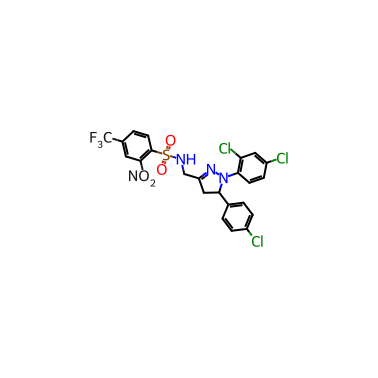 O=[N+]([O-])c1cc(C(F)(F)F)ccc1S(=O)(=O)NCC1=NN(c2ccc(Cl)cc2Cl)C(c2ccc(Cl)cc2)C1